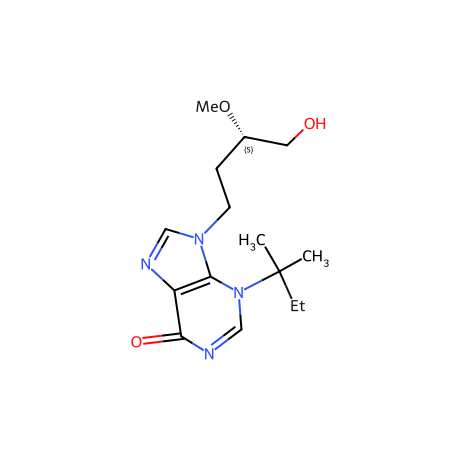 CCC(C)(C)n1cnc(=O)c2ncn(CC[C@@H](CO)OC)c21